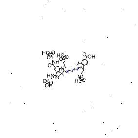 CC1(C)C(/C=C/C=C/C=C2/N(CCCS(=O)(=O)O)c3ccc(C(=O)O)cc3C2(C)C)=[N+](CCCS(=O)(=O)O)c2cc(C(=O)NCCS(=O)(=O)O)cc(C(=O)NCCS(=O)(=O)O)c21